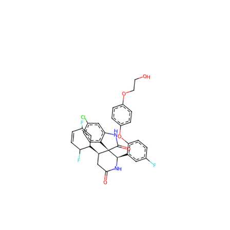 O=C1C[C@@H](C2C=C(F)C=CC2F)[C@]2(C(=O)Nc3cc(Cl)ccc32)[C@@H](c2cc(F)ccc2Oc2ccc(OCCO)cc2)N1